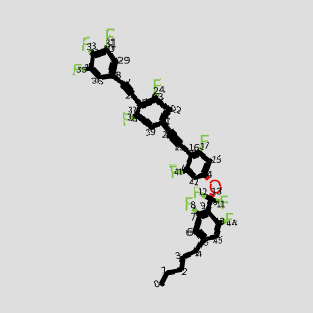 CCCCCc1cc(F)c(C(F)(F)Oc2cc(F)c(C#Cc3cc(F)c(C#Cc4cc(F)c(F)c(F)c4)c(F)c3)c(F)c2)c(F)c1